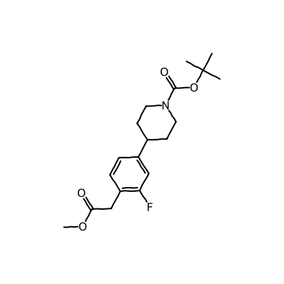 COC(=O)Cc1ccc(C2CCN(C(=O)OC(C)(C)C)CC2)cc1F